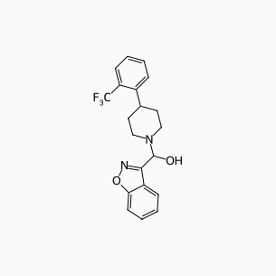 OC(c1noc2ccccc12)N1CCC(c2ccccc2C(F)(F)F)CC1